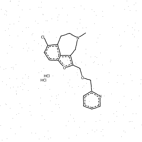 CN1CCc2c(Cl)ccc3oc(COCc4ccccn4)c(c23)C1.Cl.Cl